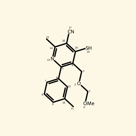 COCOCc1c(-c2cccc(C)c2)nc(C)c(C#N)c1S